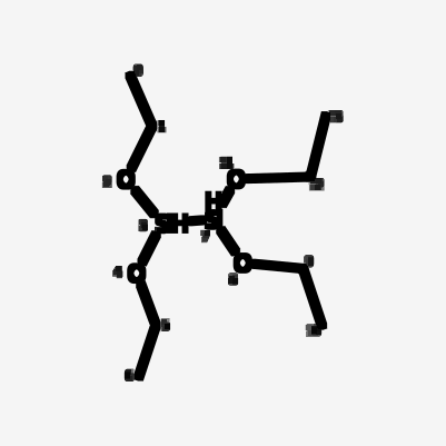 CCO[SiH](OCC)[SiH](OCC)OCC